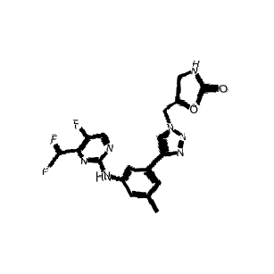 Cc1cc(Nc2ncc(F)c(C(F)F)n2)cc(-c2cn(C[C@H]3CNC(=O)O3)nn2)c1